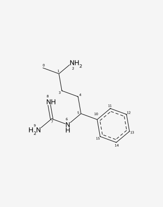 CC(N)CCC(NC(=N)N)c1ccccc1